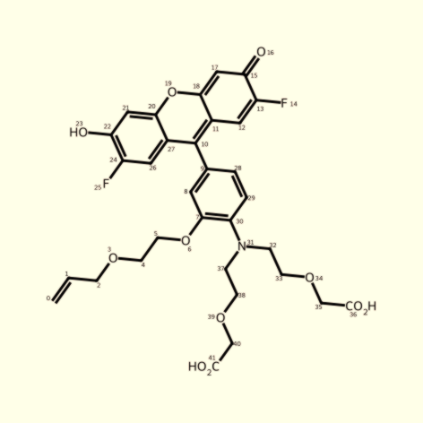 C=CCOCCOc1cc(-c2c3cc(F)c(=O)cc-3oc3cc(O)c(F)cc23)ccc1N(CCOCC(=O)O)CCOCC(=O)O